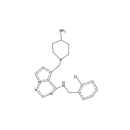 NC1CCN(Cc2ccn3ncnc(NCc4ccccc4Cl)c23)CC1